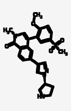 COc1ccc(S(C)(=O)=O)cc1-c1cn(C)c(=O)c2ccc(-c3cnn([C@H]4CCNC4)c3)cc12